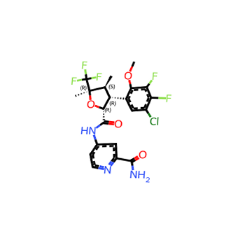 COc1c([C@@H]2[C@H](C(=O)Nc3ccnc(C(N)=O)c3)O[C@@](C)(C(F)(F)F)[C@H]2C)cc(Cl)c(F)c1F